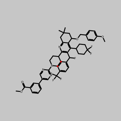 COC(=O)c1cccc(-c2cnc(N3CCC(c4nc5c(c(C6CCC(F)(F)CC6)c4C(F)c4ccc(C(F)(F)F)cc4)C(OCc4ccc(OC)cc4)CC(C)(C)C5)CC3)nc2)c1